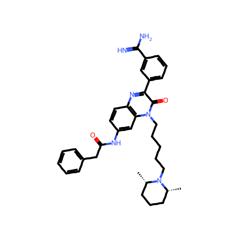 C[C@@H]1CCC[C@H](C)N1CCCCCn1c(=O)c(-c2cccc(C(=N)N)c2)nc2ccc(NC(=O)Cc3ccccc3)cc21